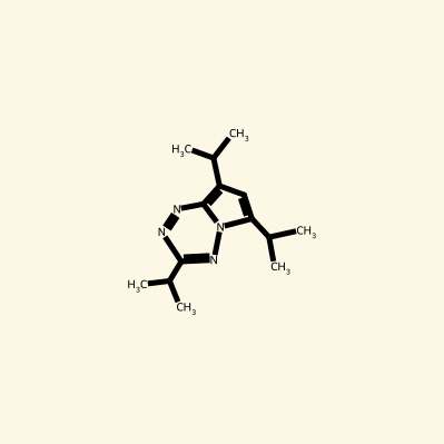 CC(C)c1nnc2c(C(C)C)cc(C(C)C)n2n1